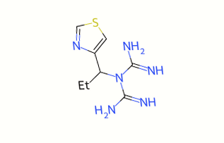 CCC(c1cscn1)N(C(=N)N)C(=N)N